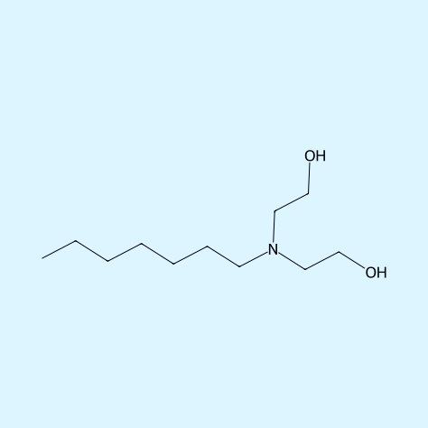 CCCCCCCN(CCO)CCO